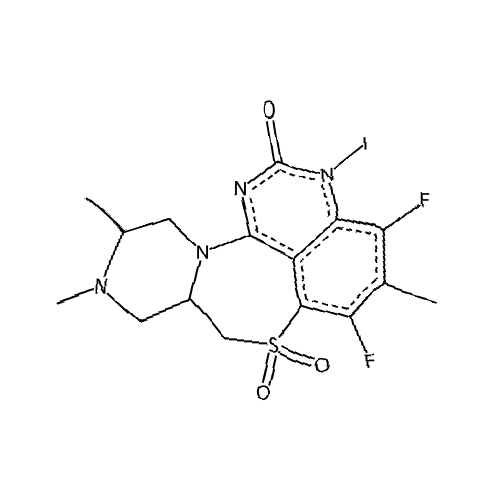 Cc1c(F)c2c3c(nc(=O)n(I)c3c1F)N1CC(C)N(C)CC1CS2(=O)=O